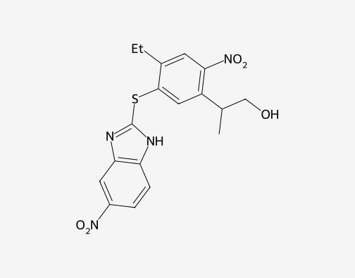 CCc1cc([N+](=O)[O-])c(C(C)CO)cc1Sc1nc2cc([N+](=O)[O-])ccc2[nH]1